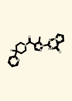 Cc1c(C(=O)N2CCC(F)(c3ccccn3)CC2)cnn1-c1nn2cccc2c(=O)[nH]1